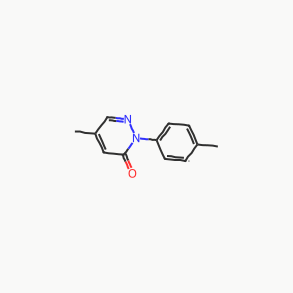 Cc1[c]cc(-n2ncc(C)cc2=O)cc1